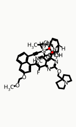 COCOc1cc(-c2ncc3c(N4C[C@H]5C=C[C@@H](C4)N5C(=O)O)nc(OCC45CCCN4CCC5)nc3c2F)c2c(C#C[Si](C(C)C)(C(C)C)C(C)C)cccc2c1